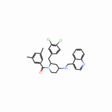 Cc1cc(C)cc(C(=O)N2CCC(NCc3ccnc4ccccc34)CC2Cc2ccc(Cl)c(Cl)c2)c1